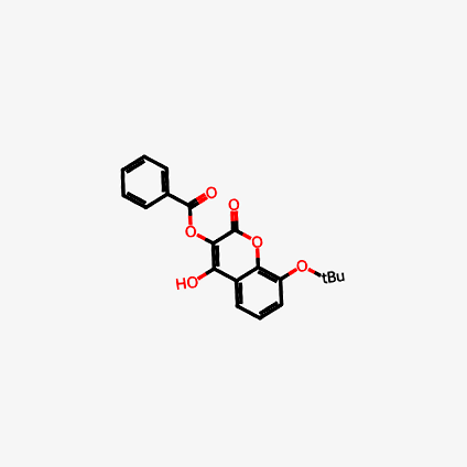 CC(C)(C)Oc1cccc2c(O)c(OC(=O)c3ccccc3)c(=O)oc12